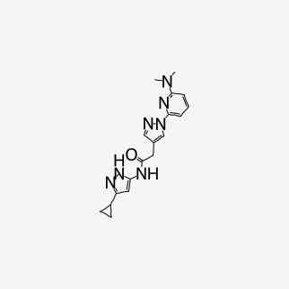 CN(C)c1cccc(-n2cc(CC(=O)Nc3cc(C4CC4)n[nH]3)cn2)n1